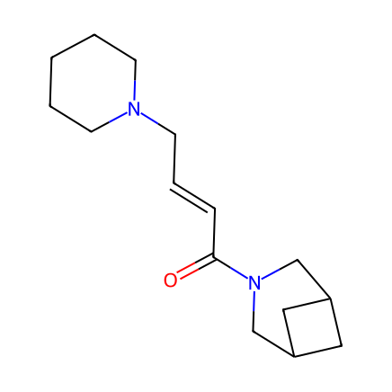 O=C(/C=C/CN1CCCCC1)N1CC2CC(C2)C1